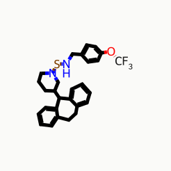 FC(F)(F)Oc1ccc(CNSN2CCCC(C3c4ccccc4CCc4ccccc43)C2)cc1